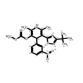 COC(=O)OC1=C(C)NC(C)=C(c2nc(C(C)(C)C)no2)C1c1cccc([N+](=O)[O-])c1